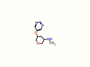 CNC1COCC(Oc2cncnc2)C1